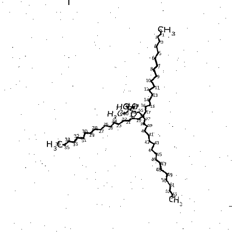 CCCCCCCCCCCCCCCCCCC(CCCCCCCCCCCCCCCCCC)(CCCCCCCCCCCCCCCCCC)COP(=O)(O)CC